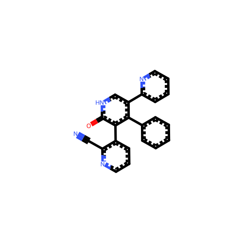 N#Cc1ncccc1-c1c(-c2ccccc2)c(-c2ccccn2)c[nH]c1=O